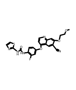 COCCOc1cc2nccc(Oc3ccc(NC(=O)Nc4nccs4)c(F)c3)c2cc1C#N